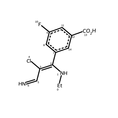 CCN/C(=C(/Cl)C=N)c1cc(F)cc(C(=O)O)c1